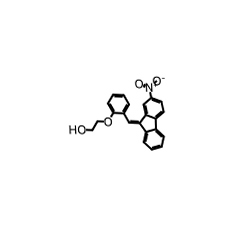 O=[N+]([O-])c1ccc2c(c1)C(=Cc1ccccc1OCCO)c1ccccc1-2